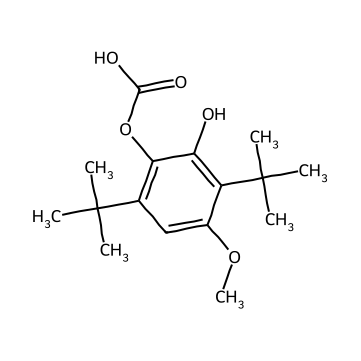 COc1cc(C(C)(C)C)c(OC(=O)O)c(O)c1C(C)(C)C